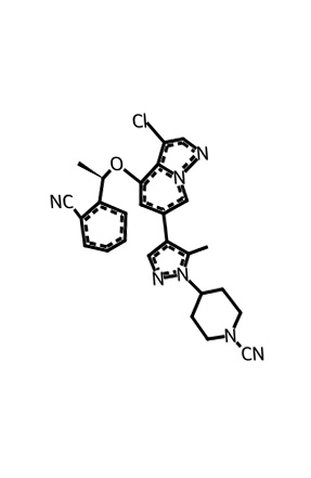 Cc1c(-c2cc(O[C@H](C)c3ccccc3C#N)c3c(Cl)cnn3c2)cnn1C1CCN(C#N)CC1